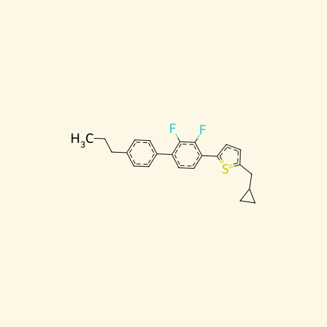 CCCc1ccc(-c2ccc(-c3ccc(CC4CC4)s3)c(F)c2F)cc1